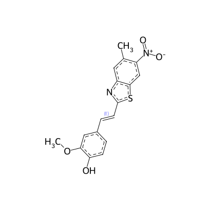 COc1cc(/C=C/c2nc3cc(C)c([N+](=O)[O-])cc3s2)ccc1O